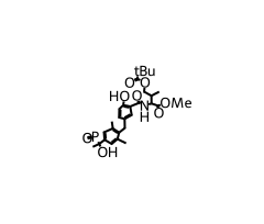 COC(=O)C(NC(=O)c1cc(Cc2c(C)cc(C(C)(O)P=O)cc2C)ccc1O)C(C)COC(=O)C(C)(C)C